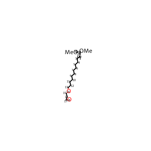 CO[SiH](CCCCCCCCCCCCOCC1CO1)OC